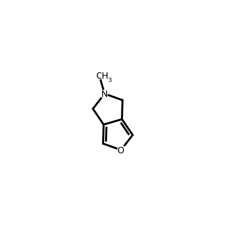 CN1Cc2cocc2C1